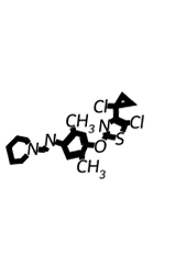 Cc1cc(Oc2nc(C3(Cl)CC3)c(Cl)s2)c(C)cc1N=CN1CCCCC1